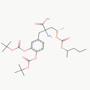 CCCC(C)OC(=O)O[C@@H](C)CC(N)(Cc1ccc(OC(=O)OC(C)(C)C)c(OC(=O)OC(C)(C)C)c1)C(=O)O